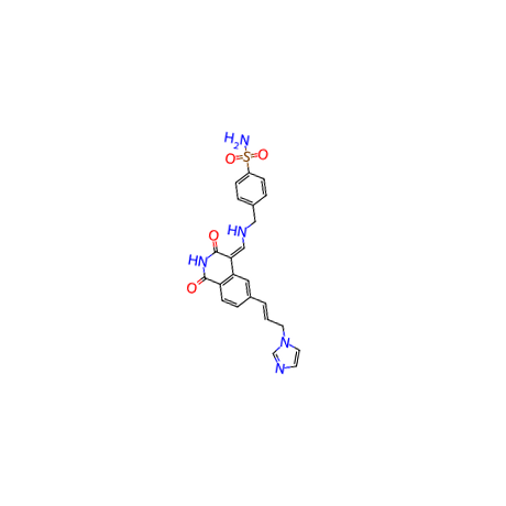 NS(=O)(=O)c1ccc(CNC=C2C(=O)NC(=O)c3ccc(C=CCn4ccnc4)cc32)cc1